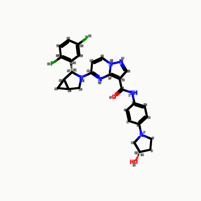 O=C(Nc1ccc(N2CC[C@H](O)C2)cc1)c1cnn2ccc(N3CC4CC4[C@@H]3c3cc(F)ccc3F)nc12